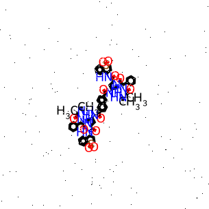 CN[C@@H](C)C(=O)N[C@H](C(=O)N1C[C@@H](NC(=O)c2ccc3cc(C(=O)N[C@H]4C[C@@H](C(=O)N[C@@H]5CCS(=O)(=O)c6ccccc65)N(C(=O)[C@@H](NC(=O)[C@H](C)NC)C5CCCCC5)C4)ccc3c2)C[C@H]1C(=O)N[C@@H]1CCS(=O)(=O)c2ccccc21)C1CCCCC1